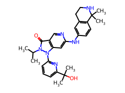 CC(C)n1c(=O)c2cnc(Nc3ccc4c(c3)CCNC4(C)C)cc2n1-c1cccc(C(C)(C)O)n1